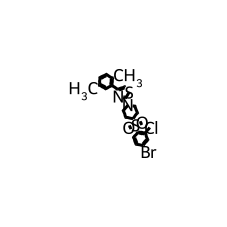 Cc1ccc(C)c(-c2csc(N3CCC(S(=O)(=O)c4ccc(Br)cc4Cl)CC3)n2)c1